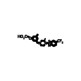 Cc1cc(CN2CCN(c3nc4ccc(C(F)(F)F)cc4s3)[C@H](C)C2)cc(OCC(=O)O)c1